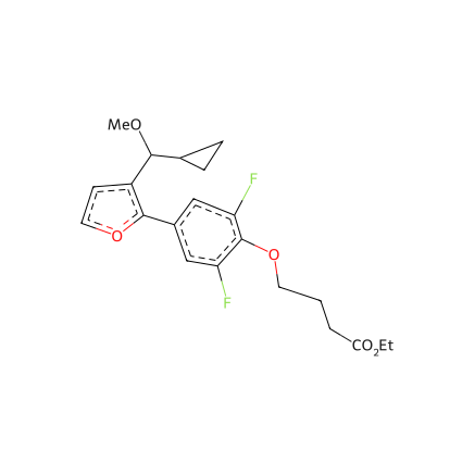 CCOC(=O)CCCOc1c(F)cc(-c2occc2C(OC)C2CC2)cc1F